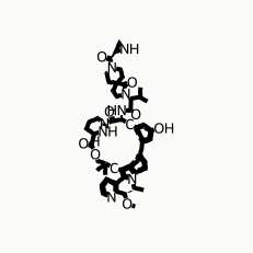 CCn1c(-c2cccnc2[C@H](C)OC)c2c3cc(ccc31)-c1cc(O)cc(c1)C[C@H](NC(=O)C(C(C)C)N1CCC3(CCN(C(=O)[C@H]4CN4)CC3)C1=O)C(=O)N1CCC[C@H](N1)C(=O)OCC(C)(C)C2